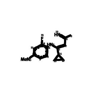 CNc1ccc(N/C(=C\C(C)=N)C2CC2)c(F)c1